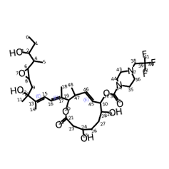 CCC(O)C(C)C1OC1CC(C)(O)/C(C)=C/C=C(\C)C1OC(=O)CC(O)CCC(O)C(OC(=O)N2CCN(CC(F)(F)F)CC2)/C=C/C1C